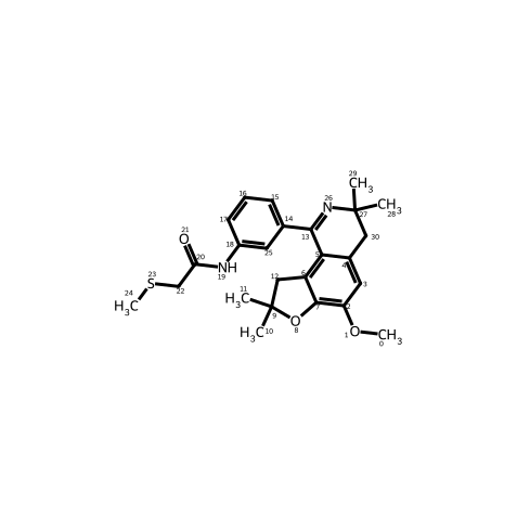 COc1cc2c(c3c1OC(C)(C)C3)C(c1cccc(NC(=O)CSC)c1)=NC(C)(C)C2